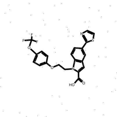 O=C(O)c1cc2cc(-c3nccs3)ccc2n1CCOc1ccc(OC(F)(F)F)cc1